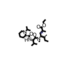 CCOC(=O)/C(C)=C/[C@H]([C@@H](C)CC)N(C)C(=O)[C@@H](NC(=O)[C@H]1CCCCN1C(C)C)C(C)C